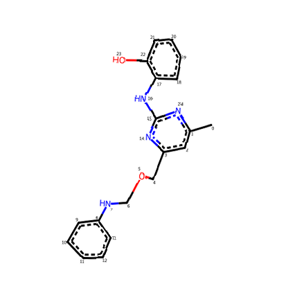 Cc1cc(COCNc2ccccc2)nc(Nc2ccccc2O)n1